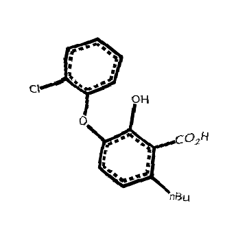 CCCCc1ccc(Oc2ccccc2Cl)c(O)c1C(=O)O